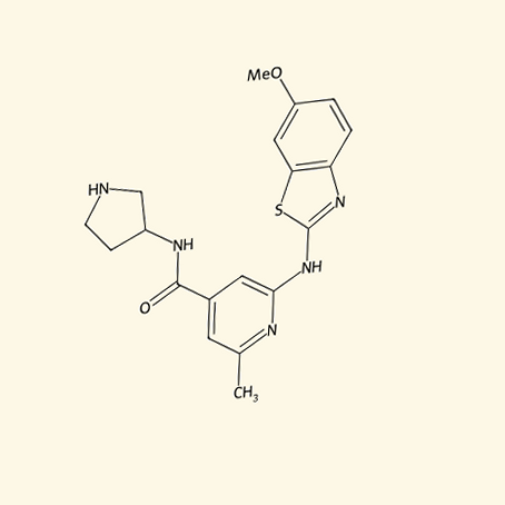 COc1ccc2nc(Nc3cc(C(=O)NC4CCNC4)cc(C)n3)sc2c1